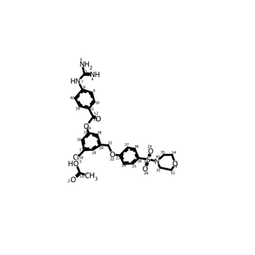 CC(=O)O.N=C(N)Nc1ccc(C(=O)Oc2cc(Cl)cc(COc3ccc(S(=O)(=O)N4CCOCC4)cc3)c2)cc1